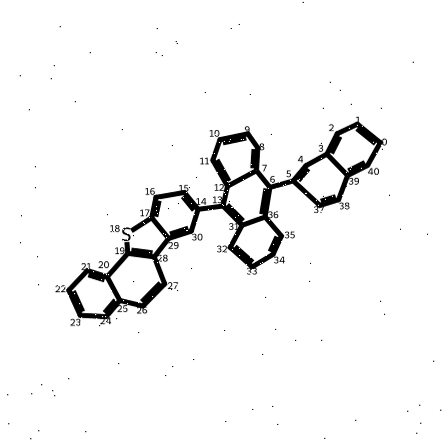 c1ccc2cc(-c3c4ccccc4c(-c4ccc5sc6c7ccccc7ccc6c5c4)c4ccccc34)ccc2c1